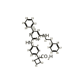 O=C(O)C1(c2ccc(Nc3nc(NCCc4ccccc4)cc(-c4ccccc4)n3)cc2)CCC1